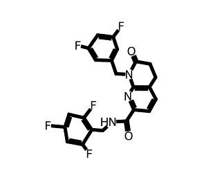 O=C(NCc1c(F)cc(F)cc1F)c1ccc2c(n1)N(Cc1cc(F)cc(F)c1)C(=O)CC2